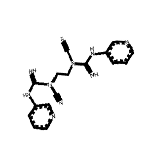 N#CN(CCN(C#N)C(=N)Nc1cccnc1)C(=N)Nc1cccnc1